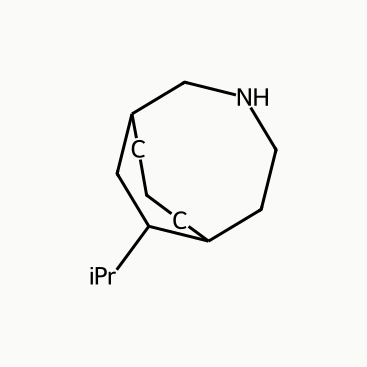 CC(C)C1CC2CCCC1CCNC2